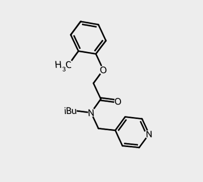 CCC(C)N(Cc1ccncc1)C(=O)COc1ccccc1C